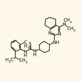 Cc1cccc(C(C)C)c1NC(=S)NC1CCC(Nc2nc3c(c(N(C)C)n2)CCCC3)CC1